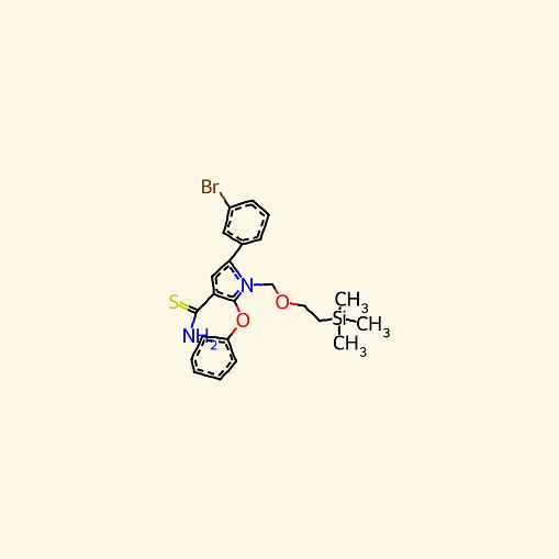 C[Si](C)(C)CCOCn1c(-c2cccc(Br)c2)cc(C(N)=S)c1Oc1ccccc1